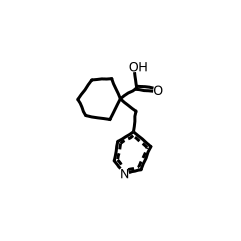 O=C(O)C1(Cc2ccncc2)CCCCC1